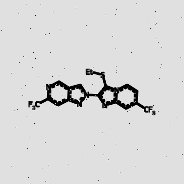 CCSc1c(-n2cc3cnc(C(F)(F)F)cc3n2)nc2cc(C(F)(F)F)ccn12